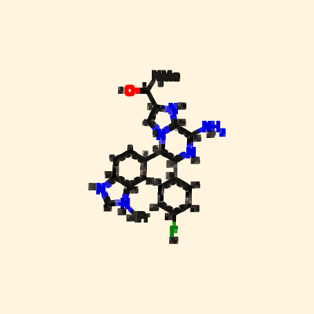 CNC(=O)c1cn2c(-c3ccc4ncn(C(C)C)c4c3)c(-c3ccc(F)cc3)nc(N)c2n1